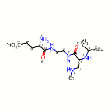 CCCCC(C)N[C@@H](CNCC)C(=O)NCCNC(=O)[C@@H](N)CCC(=O)O